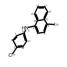 Clc1ccc(Nc2ccc(I)c3ccccc23)cc1